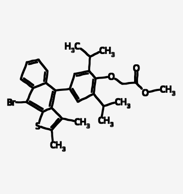 COC(=O)COc1c(C(C)C)cc(-c2c3ccccc3c(Br)c3sc(C)c(C)c23)cc1C(C)C